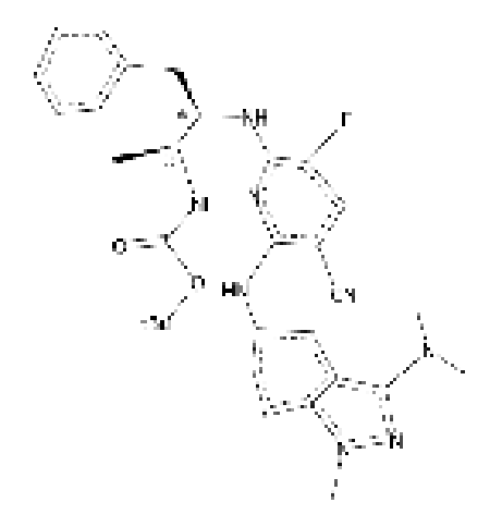 C[C@H](NC(=O)OC(C)(C)C)[C@@H](Cc1ccccc1)Nc1nc(Nc2ccc3c(c2)c(N(C)C)nn3C)c(C#N)cc1F